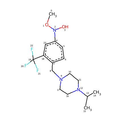 CON(O)c1ccc(CN2CCN(C(C)C)CC2)c(C(F)(F)F)c1